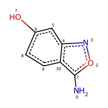 Nc1onc2cc(O)ccc12